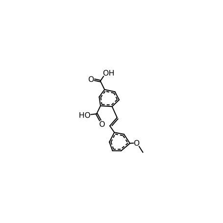 COc1cccc(C=Cc2ccc(C(=O)O)cc2C(=O)O)c1